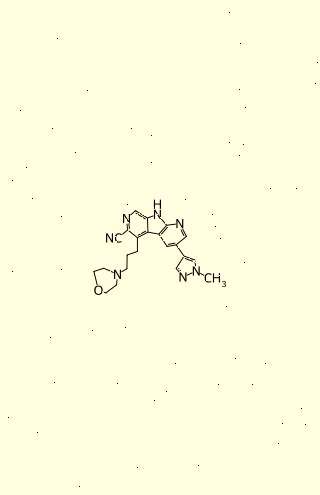 Cn1cc(-c2cnc3[nH]c4cnc(C#N)c(CCCN5CCOCC5)c4c3c2)cn1